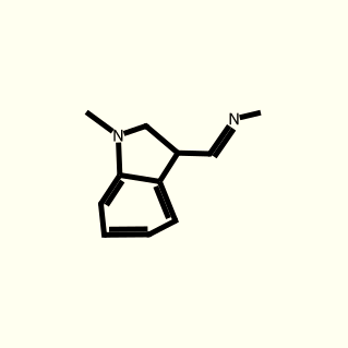 C/N=C/C1CN(C)c2ccccc21